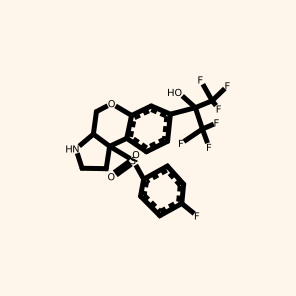 O=S(=O)(c1ccc(F)cc1)C12CCNC1COc1cc(C(O)(C(F)(F)F)C(F)(F)F)ccc12